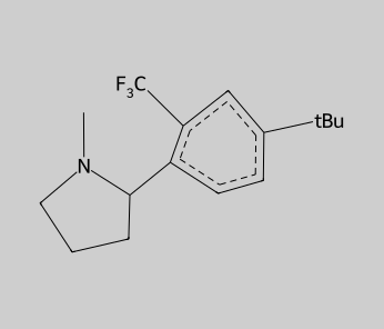 CN1CCCC1c1ccc(C(C)(C)C)cc1C(F)(F)F